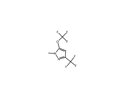 Cn1nc(C(F)(F)F)[c]c1OC(F)(F)F